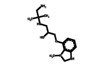 CN1CNc2cccc(OCC(O)CNC(C)(C)CN)c21